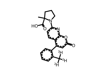 [2H]C([2H])([2H])c1ccccc1-c1cc(=O)oc2nc(N3CCCC3(C)C(=O)O)ccc12